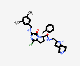 Cc1cc(C)cc(CNc2nc(Cl)c3n(c2=O)[C@@](Cc2ccccc2)(C(=O)NCc2cc4cnccc4[nH]2)CC3)c1